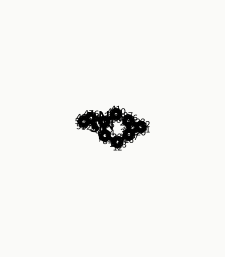 C[Si]1(C)c2c(-c3cccc(-c4cccc(-c5ccc6c7ccccc7c7ccccc7c6c5)c4)c3)nc(-c3ccccc3)nc2-c2ccc3ccccc3c21